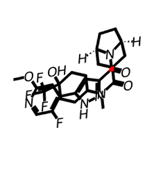 COc1cc(-c2cc(C(=O)N3[C@@H]4CC[C@H]3CC(C(=O)N(C)C3CCC(O)(C(F)(F)F)CC3)C4)n[nH]2)c(F)cn1